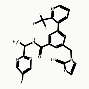 CC(NC(=O)c1cc(Cn2ccoc2=N)cc(-c2cccnc2C(F)(F)F)c1)c1ncc(F)cn1